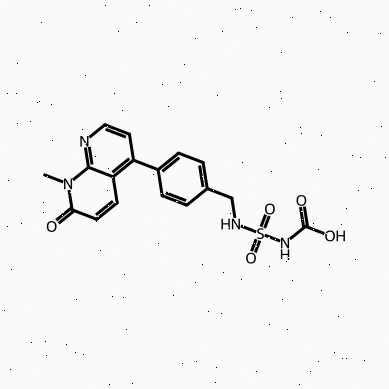 Cn1c(=O)ccc2c(-c3ccc(CNS(=O)(=O)NC(=O)O)cc3)ccnc21